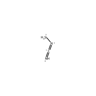 N=C=N[SiH3]